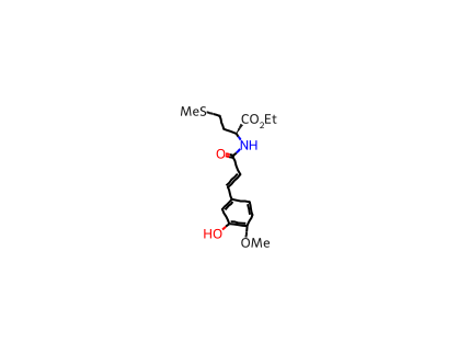 CCOC(=O)[C@H](CCSC)NC(=O)/C=C/c1ccc(OC)c(O)c1